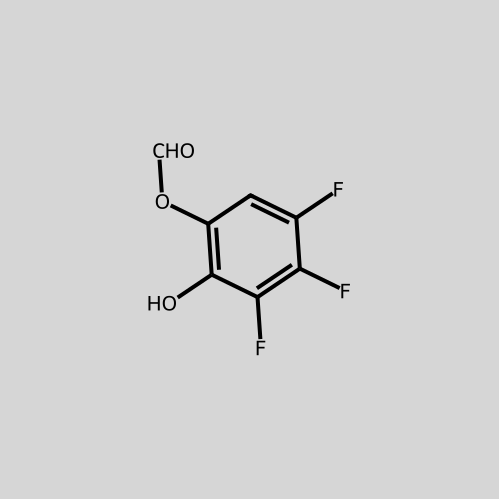 O=COc1cc(F)c(F)c(F)c1O